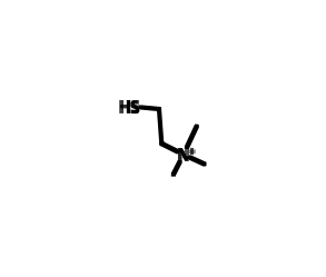 C[N+](C)(C)CCS